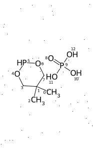 CC1(C)COPOC1.O=P(O)(O)O